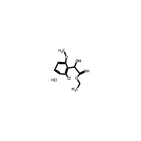 CCOC(=N)C(O)c1c(Cl)cccc1OC.Cl